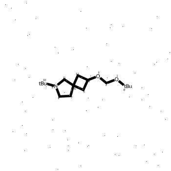 CC(C)(C)OCOC1CC2(CCN(C(C)(C)C)C2)C1